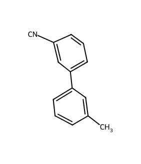 [C-]#[N+]c1cccc(-c2cccc(C)c2)c1